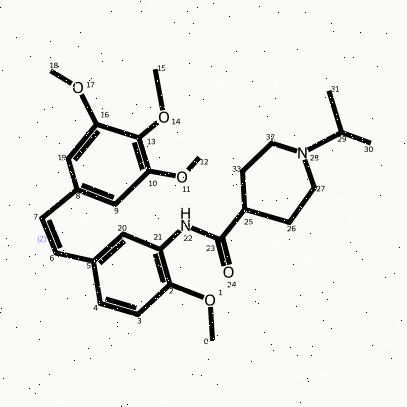 COc1ccc(/C=C\c2cc(OC)c(OC)c(OC)c2)cc1NC(=O)C1CCN(C(C)C)CC1